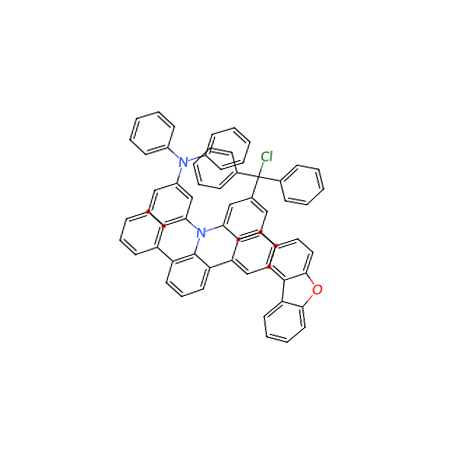 ClC(c1ccccc1)(c1ccccc1)c1cc(-c2ccc3oc4ccccc4c3c2)cc(N(c2cccc(N(c3ccccc3)c3ccccc3)c2)c2c(-c3ccccc3)cccc2-c2ccccc2)c1